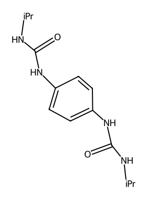 CC(C)NC(=O)Nc1ccc(NC(=O)NC(C)C)cc1